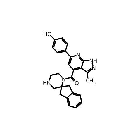 Cc1n[nH]c2nc(-c3ccc(O)cc3)cc(C(=O)N3CCNCC34Cc3ccccc3C4)c12